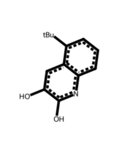 CC(C)(C)c1cccc2nc(O)c(O)cc12